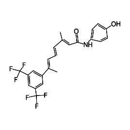 CC(C=CC=C(C)c1cc(C(F)(F)F)cc(C(F)(F)F)c1)=CC(=O)Nc1ccc(O)cc1